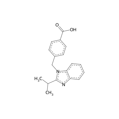 CC(C)c1nc2ccccc2n1Cc1ccc(C(=O)O)cc1